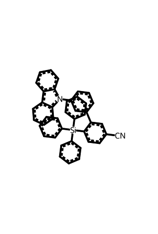 N#Cc1ccc([Si](c2ccccc2)(c2ccccc2)c2ccccc2)c(-c2cccc(-n3c4ccccc4c4ccccc43)c2)c1